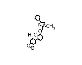 Cc1c(OCc2nc(-c3ccccc3)cn2C)cccc1-c1ccc2c(c1)OCO2